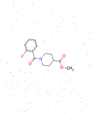 COC(=O)C1CCN(C(=O)c2ccccc2I)CC1